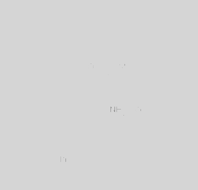 CC(C)(C)OC(=O)C(N)(C=O)Cc1ccc(Br)cc1